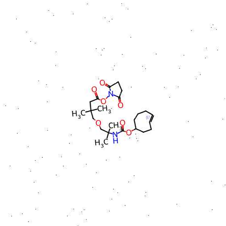 CC(C)(COCC(C)(C)NC(=O)OC1CC/C=C/CCC1)CC(=O)ON1C(=O)CCC1=O